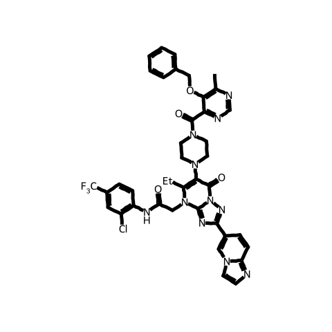 CCc1c(N2CCN(C(=O)c3ncnc(C)c3OCc3ccccc3)CC2)c(=O)n2nc(-c3ccc4nccn4c3)nc2n1CC(=O)Nc1ccc(C(F)(F)F)cc1Cl